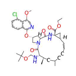 CCOC(=O)[C@@]12C[C@H]1C=CCCC(C)C[C@@H](C)[C@H](NCOC(C)(C)C)C(=O)N1C[C@H](Oc3ncc(OC)c4c(Cl)cccc34)C[C@H]1C(=O)N2